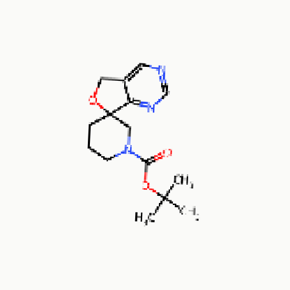 CC(C)(C)OC(=O)N1CCCC2(C1)OCc1cncnc12